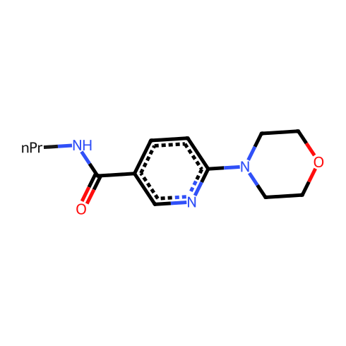 [CH2]CCNC(=O)c1ccc(N2CCOCC2)nc1